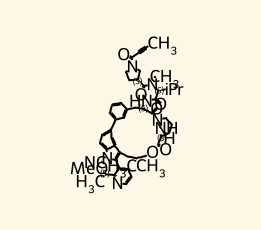 CC#CC(=O)N1CC[C@H](C(=O)N(C)[C@H](C(=O)N[C@H]2Cc3cccc(c3)-c3ccc4c(c3)c(c(-c3cccnc3[C@H](C)OC)n4C#N)CC(C)(C)COC(=O)[C@@H]3CCCN(N3)C2=O)C(C)C)C1